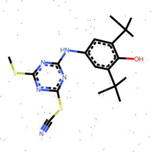 CSc1nc(Nc2cc(C(C)(C)C)c(O)c(C(C)(C)C)c2)nc(SC#N)n1